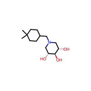 CC1(C)CCC(CN2C[C@@H](O)[C@H](O)[C@@H](O)C2)CC1